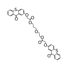 O=C(COc1ccc2sc3ccccc3c(=O)c2c1)OCCCOCCOC(=O)COc1ccc2sc3ccccc3c(=O)c2c1